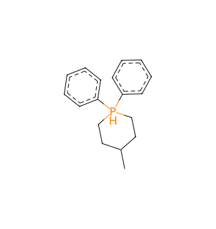 CC1CC[PH](c2ccccc2)(c2ccccc2)CC1